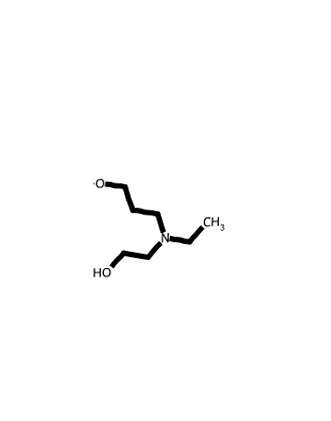 CCN(CCO)CCC[O]